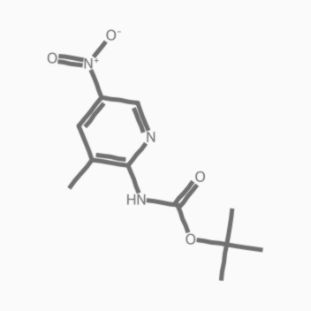 Cc1cc([N+](=O)[O-])cnc1NC(=O)OC(C)(C)C